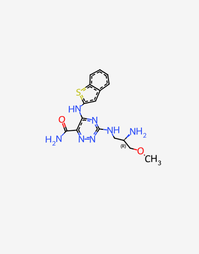 COC[C@H](N)CNc1nnc(C(N)=O)c(Nc2cc3ccccc3s2)n1